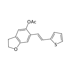 CC(=O)Oc1cc2c(cc1/C=C/c1cccs1)OCC2